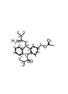 CC(=O)OCc1ccc(OC(=O)C(C)C)c(C(CC(N)C(C)C)c2ccccc2)c1